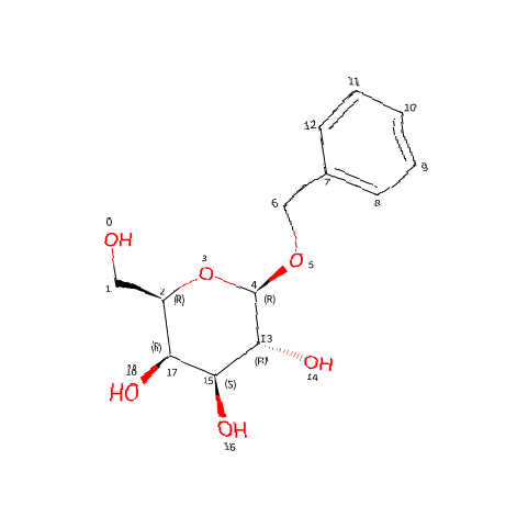 OC[C@H]1O[C@@H](OCc2ccccc2)[C@H](O)[C@@H](O)[C@H]1O